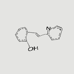 Oc1ccccc1C=Cc1ccccn1